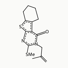 C=C(C)Cn1c(SC)nc2sc3c(c2c1=O)CCCC3